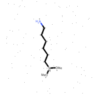 CO[SiH](CCCCCCN)OC